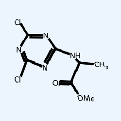 COC(=O)C(C)Nc1nc(Cl)nc(Cl)n1